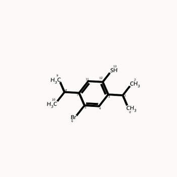 CC(C)c1cc(Br)c(C(C)C)cc1S